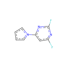 Fc1cc(-n2cccc2)nc(F)n1